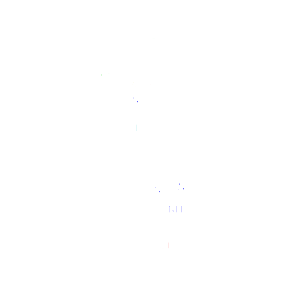 CC(C)(O)CNc1ncc(C#Cc2c(F)ccc(NS(=O)(=O)c3cc(Cl)ccc3Cl)c2F)cn1